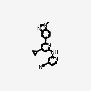 Cn1cnc2cc(-c3cc(C4CC4)cc(Nc4cc(C#N)ccn4)n3)ccc21